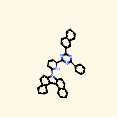 C1=CC(c2nc(-c3ccccc3)nc(-c3ccc4ccccc4c3)n2)NC(n2c3ccc4ccccc4c3c3c4ccccc4ccc32)=C1